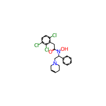 O=C(Cc1c(Cl)ccc(Cl)c1Cl)N(O)C(CN1CC=CCC1)c1ccccc1